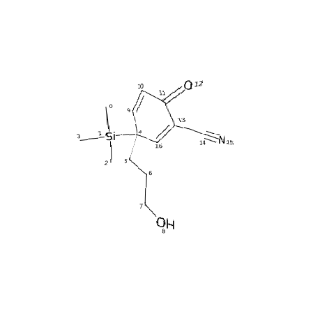 C[Si](C)(C)C1(CCCO)C=CC(=O)C(C#N)=C1